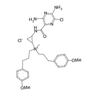 COc1ccc(CCC[N+](C)(CCCc2ccc(OC)cc2)C2CC2NC(=O)c2nc(Cl)c(N)nc2N)cc1.[Cl-]